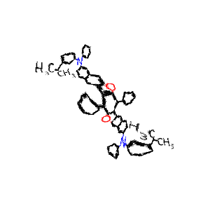 CC(C)c1cccc(N(c2ccccc2)c2ccc3cc4c(cc3c2)oc2c(-c3ccccc3)c3c(oc5cc6cc(N(c7ccccc7)c7cccc(C(C)C)c7)ccc6cc53)c(-c3ccccc3)c24)c1